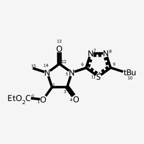 CCOC(=O)OC1C(=O)N(c2nnc(C(C)(C)C)s2)C(=O)N1C